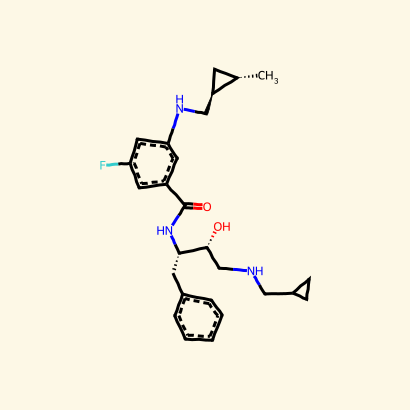 C[C@H]1C[C@@H]1CNc1cc(F)cc(C(=O)N[C@@H](Cc2ccccc2)[C@H](O)CNCC2CC2)c1